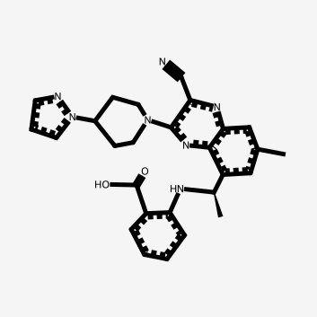 Cc1cc([C@@H](C)Nc2ccccc2C(=O)O)c2nc(N3CCC(n4cccn4)CC3)c(C#N)nc2c1